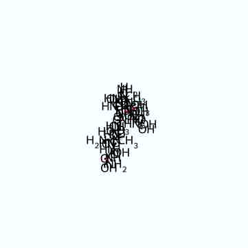 C[C@H](NC(=O)[C@H](CC(N)=O)NC(=O)[C@H](CO)NC(=O)CNC(=O)[C@@H](N)CO)C(=O)N[C@H](C(=O)NCC(=O)N[C@@H](CO)C(=O)NCC(=O)N[C@@H](CO)C(=O)N[C@@H](CC(N)=O)C(=O)N[C@@H](C)C(=O)N[C@H](C(=O)N[C@@H](CO)C(=O)NCC(=O)N[C@@H](CO)C(=O)O)[C@@H](C)O)[C@@H](C)O